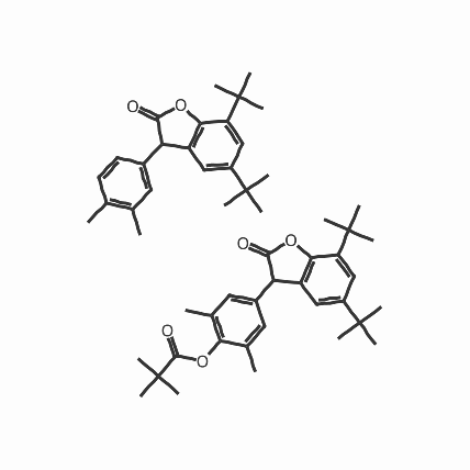 Cc1cc(C2C(=O)Oc3c2cc(C(C)(C)C)cc3C(C)(C)C)cc(C)c1OC(=O)C(C)(C)C.Cc1ccc(C2C(=O)Oc3c2cc(C(C)(C)C)cc3C(C)(C)C)cc1C